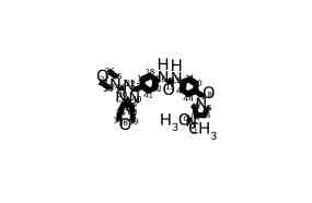 CN(C)[C@@H]1CCN(C(=O)c2ccc(NC(=O)Nc3ccc(-c4nc(N5CCOCC5)nc(N5C6CCC5COC6)n4)cc3)cc2)C1